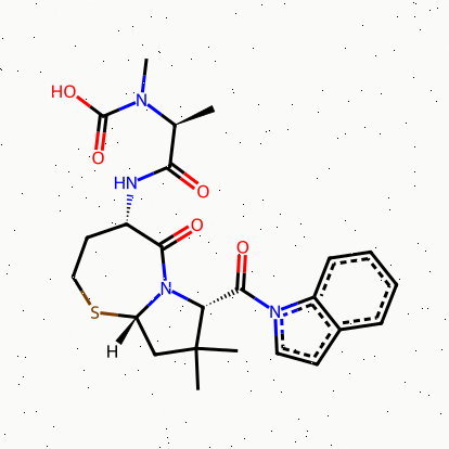 C[C@@H](C(=O)N[C@H]1CCS[C@H]2CC(C)(C)[C@@H](C(=O)n3ccc4ccccc43)N2C1=O)N(C)C(=O)O